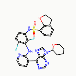 O=S(=O)(Nc1ccc(F)c(Nc2ncccc2-c2ncnc3c2ncn3C2CCCCO2)c1F)c1cccc2c1OCC2